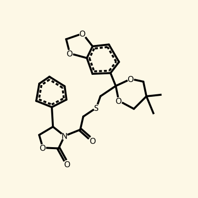 CC1(C)COC(CSCC(=O)N2C(=O)OCC2c2ccccc2)(c2ccc3c(c2)OCO3)OC1